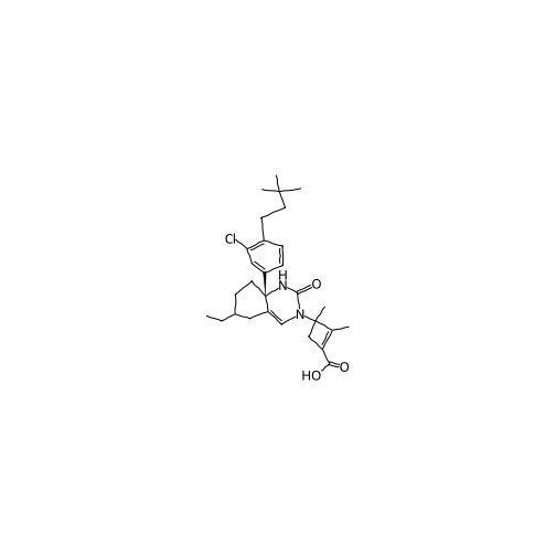 CCC1CC[C@]2(c3ccc(CCC(C)(C)C)c(Cl)c3)NC(=O)N(C3(C)CC(C(=O)O)=C3C)C=C2C1